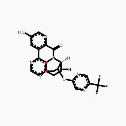 Cc1cnc(C(=O)N2C[C@@H]3CC[C@H]2[C@H](Oc2cnc(C(F)(F)F)cn2)C3)c(-c2ncccn2)c1